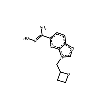 NC(=NO)c1ccc2ncn(CC3CCO3)c2n1